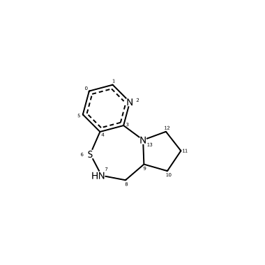 c1cnc2c(c1)SNCC1CCCN21